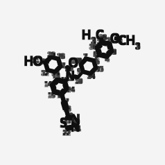 COc1ccc([C@H]2CC[C@H](CN(c3cccc(C#Cc4nncs4)c3)C(=O)[C@H]3CC[C@H](O)CC3)CC2)cc1C